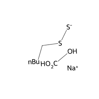 CCCCCS[S-].O=C(O)O.[Na+]